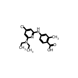 CCN(CC)c1cc(Cl)cc(Nc2ccc(C(=O)O)c(C)c2)n1